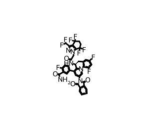 NC(=O)c1cc(-c2cc(N3C(=O)c4ccccc4C3=O)cnc2[C@H](Cc2cc(F)cc(F)c2)NC(=O)Cn2nc(C(F)F)c3c2C(F)(F)CCC3(F)F)ccc1F